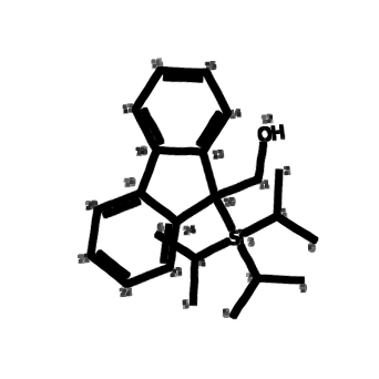 CC(C)[Si](C(C)C)(C(C)C)C1(CO)c2ccccc2-c2ccccc21